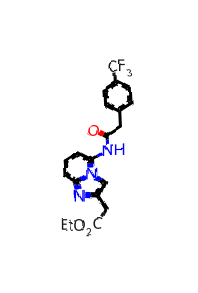 CCOC(=O)Cc1cn2c(NC(=O)Cc3ccc(C(F)(F)F)cc3)cccc2n1